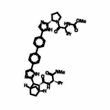 CNC(=O)[C@@H](NC(=O)[C@@H]1[C@@H]2CC[C@@H](C2)[C@H]1c1ncc(-c2ccc(-c3ccc(-c4cnc([C@@H]5CCCN5C(=O)[C@@H](NC(=O)OC)C(C)C)[nH]4)cc3)cc2)[nH]1)C(C)C